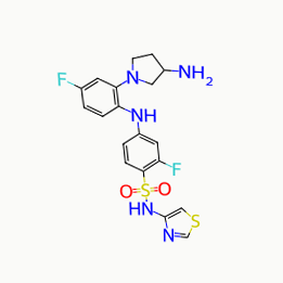 NC1CCN(c2cc(F)ccc2Nc2ccc(S(=O)(=O)Nc3cscn3)c(F)c2)C1